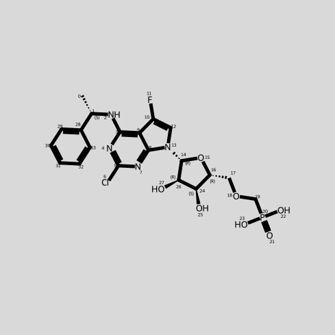 C[C@H](Nc1nc(Cl)nc2c1c(F)cn2[C@@H]1O[C@H](COCP(=O)(O)O)[C@@H](O)[C@H]1O)c1ccccc1